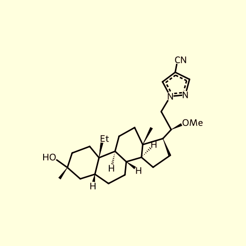 CC[C@]12CC[C@@](C)(O)C[C@H]1CC[C@H]1[C@@H]3CC[C@H]([C@@H](Cn4cc(C#N)cn4)OC)[C@@]3(C)CC[C@@H]12